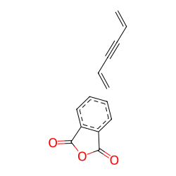 C=CC#CC=C.O=C1OC(=O)c2ccccc21